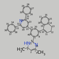 CC1=CC(C)NC(c2cc(C3=CCCc4ccccc43)cc(-c3cc(-c4ccccc4)nc(-c4ccccc4)c3)c2)=N1